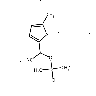 Cc1ccc(C(C#N)O[Si](C)(C)C)s1